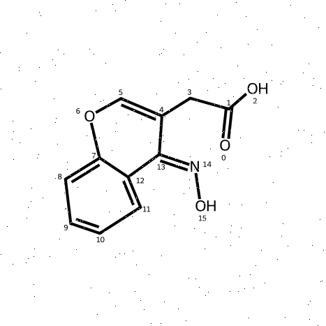 O=C(O)Cc1coc2ccccc2c1=NO